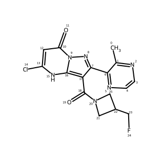 Cc1nccnc1-c1nn2c(=O)cc(Cl)[nH]c2c1C(=O)N1CC(CF)C1